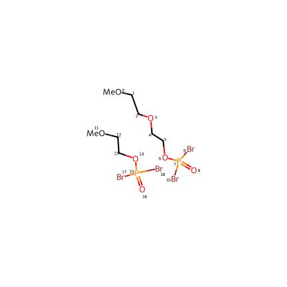 COCCOCCOP(=O)(Br)Br.COCCOP(=O)(Br)Br